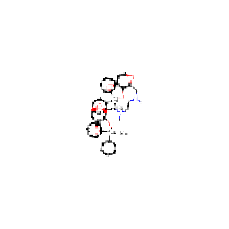 CN(CCN(C)Cc1occc(=O)c1O[Si](c1ccccc1)(c1ccccc1)C(C)(C)C)Cc1occc(=O)c1O[Si](c1ccccc1)(c1ccccc1)C(C)(C)C